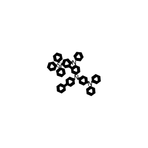 c1ccc(-c2ccc(N(c3ccc(N(c4ccccc4)c4ccccc4)cc3)c3ccc4c(c3)c3cc([Si](c5ccccc5)(c5ccccc5)c5ccccc5)ccc3n4-c3ccccc3)cc2)cc1